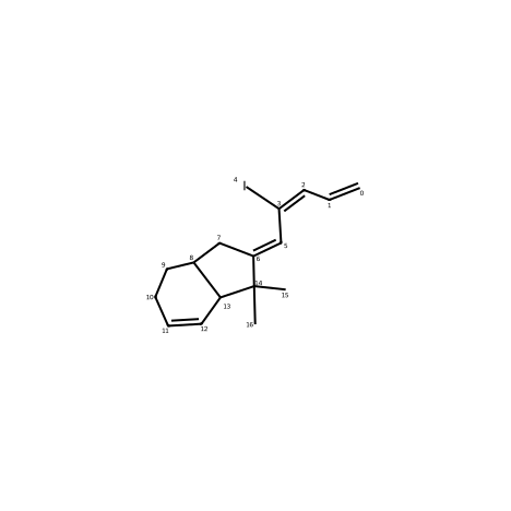 C=C/C=C(I)\C=C1/CC2CCC=CC2C1(C)C